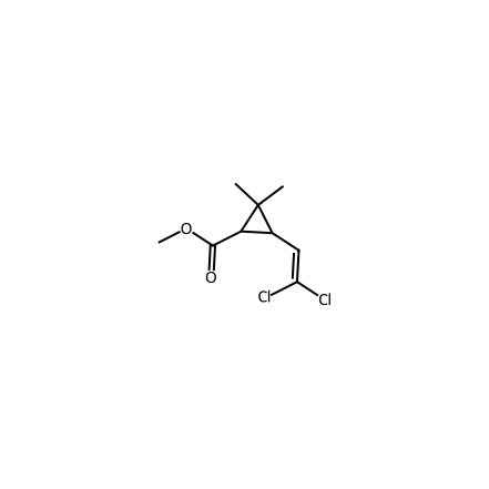 COC(=O)C1C(C=C(Cl)Cl)C1(C)C